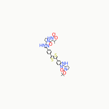 COC(=O)NC(C(=O)N1CCCC1c1nc(-c2ccc(-c3csc4c(-c5ccc6nc(C7CCCN7C(=O)OC(C)(C)C)[nH]c6c5)csc34)cc2)c[nH]1)C(C)C